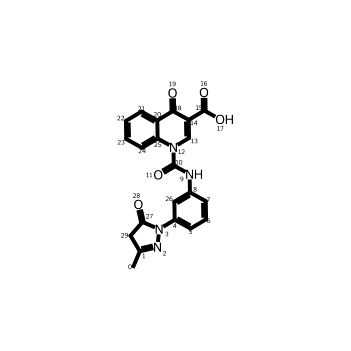 CC1=NN(c2cccc(NC(=O)n3cc(C(=O)O)c(=O)c4ccccc43)c2)C(=O)C1